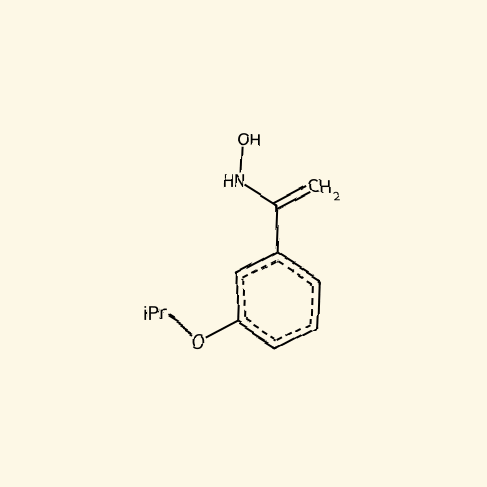 C=C(NO)c1cccc(OC(C)C)c1